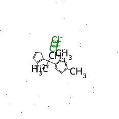 Cc1ccc(C(C)(C)C2=[C]([Ti+3])C=CC2)c(C)c1.[Cl-].[Cl-].[Cl-]